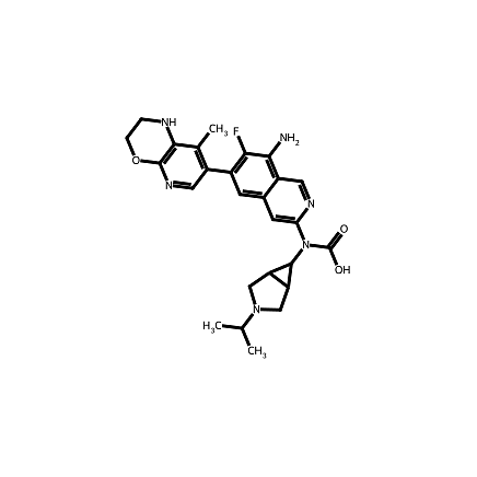 Cc1c(-c2cc3cc(N(C(=O)O)C4C5CN(C(C)C)CC54)ncc3c(N)c2F)cnc2c1NCCO2